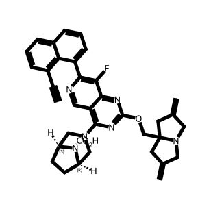 C#Cc1cccc2cccc(-c3ncc4c(N5C[C@H]6CC[C@@H](C5)N6C(=O)O)nc(OCC56CC(=C)CN5CC(=C)C6)nc4c3F)c12